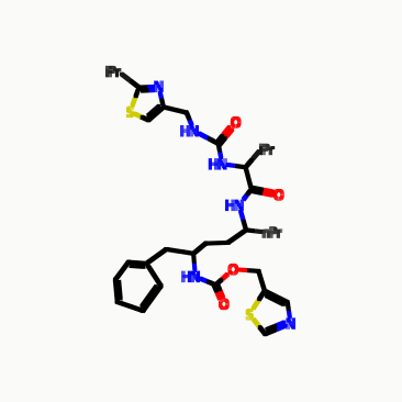 CCCC(CCC(Cc1ccccc1)NC(=O)OCc1cncs1)NC(=O)C(NC(=O)NCc1csc(C(C)C)n1)C(C)C